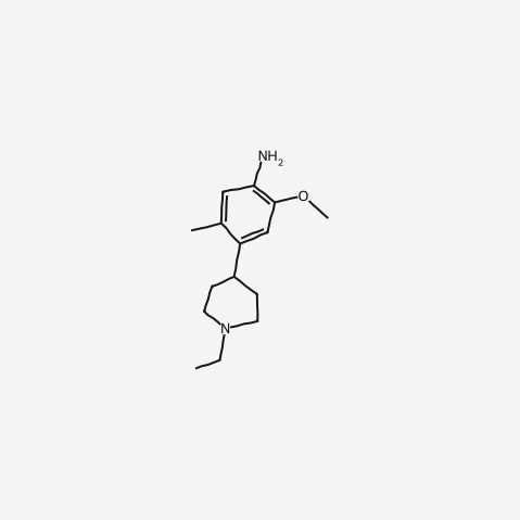 CCN1CCC(c2cc(OC)c(N)cc2C)CC1